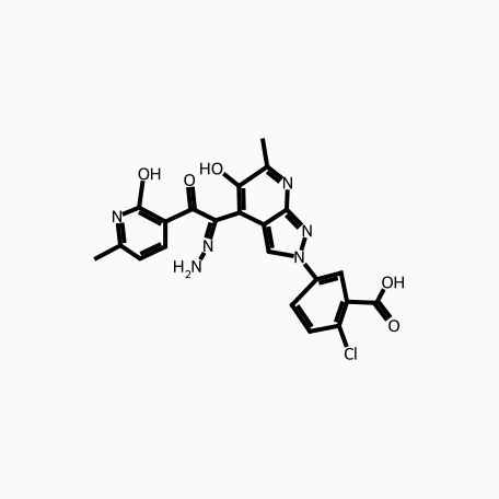 Cc1ccc(C(=O)C(=NN)c2c(O)c(C)nc3nn(-c4ccc(Cl)c(C(=O)O)c4)cc23)c(O)n1